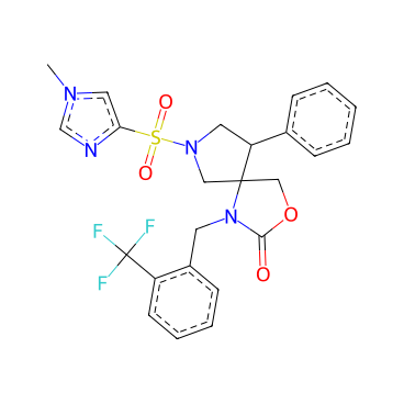 Cn1cnc(S(=O)(=O)N2CC(c3ccccc3)C3(COC(=O)N3Cc3ccccc3C(F)(F)F)C2)c1